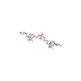 C=CC[N+](C)(C)CCCOS(=O)(=O)OCCC[N+](C)(C)CC=C